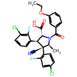 CCOc1cccc(C(=O)N2[C@@H](C)[C@](C#N)(c3ccc(Cl)cc3F)[C@@H](c3cccc(Cl)c3F)[C@@H]2C(=O)O)c1